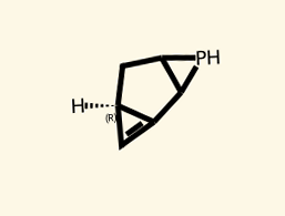 C1=C2C3PC3C[C@H]12